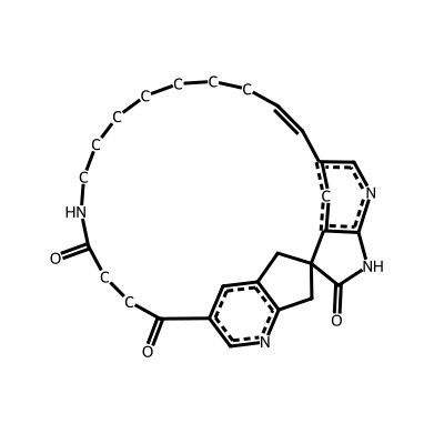 O=C1CCC(=O)c2cnc3c(c2)CC2(C3)C(=O)Nc3ncc(cc32)C=CCCCCCCCN1